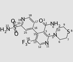 NC(=O)c1c(N2CCSCC2)ncc(C(F)(F)F)c1-c1ccnc(S(N)(=O)=O)c1